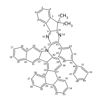 CC1(C)c2ccccc2-c2nc(-n3c4cc5ccccc5cc4c4c5c6ccccc6c6ccccc6c5ccc43)c(-c3ccc(-c4ccccc4)cc3)nc21